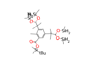 C[SiH2]OC(O[SiH2]C)C(C)(C)c1cc(C(=O)O[Si](C)(C)C(C)(C)C)c(C)c(C(C)(C)C(O[SiH2]C)O[SiH2]C)c1